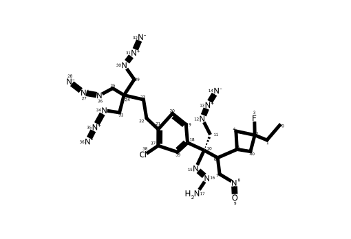 CCC1(F)CC(C(CN=O)[C@@](CN=[N+]=[N-])(N=NN)c2ccc(CCC(CN=[N+]=[N-])(CN=[N+]=[N-])CN=[N+]=[N-])c(Cl)c2)C1